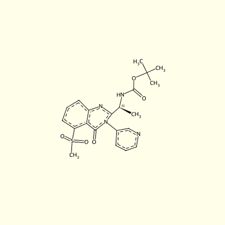 C[C@H](NC(=O)OC(C)(C)C)c1nc2cccc(S(C)(=O)=O)c2c(=O)n1-c1cccnc1